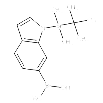 CC(C)(C)[Si](C)(C)n1ccc2ccc(B(O)O)cc21